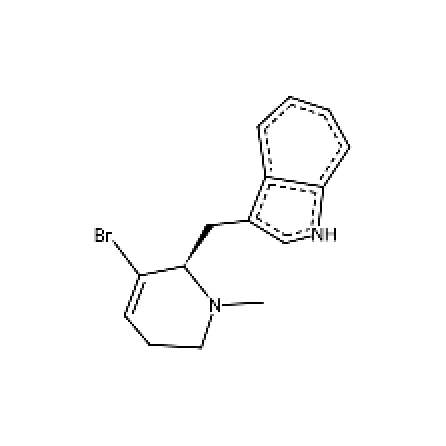 CN1CCC=C(Br)[C@H]1Cc1c[nH]c2ccccc12